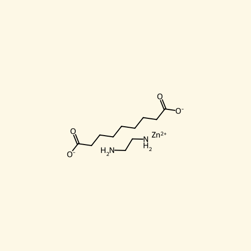 NCCN.O=C([O-])CCCCCCCC(=O)[O-].[Zn+2]